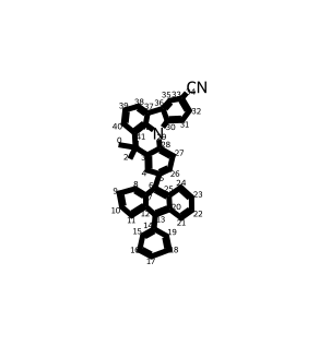 CC1(C)c2cc(-c3c4ccccc4c(-c4ccccc4)c4ccccc34)ccc2-n2c3ccc(C#N)cc3c3cccc1c32